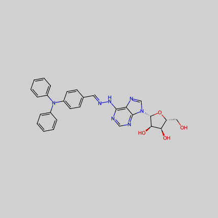 OC[C@H]1O[C@@H](n2cnc3c(N/N=C/c4ccc(N(c5ccccc5)c5ccccc5)cc4)ncnc32)[C@H](O)[C@@H]1O